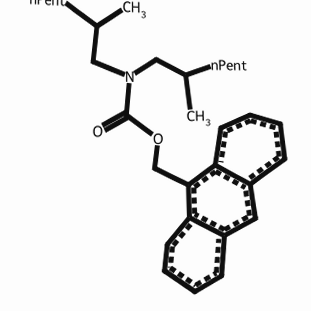 CCCCCC(C)CN(CC(C)CCCCC)C(=O)OCc1c2ccccc2cc2ccccc12